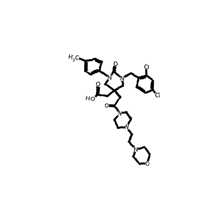 Cc1ccc(N2CC(CC(=O)O)(CC(=O)N3CCN(CCN4CCOCC4)CC3)CN(Cc3ccc(Cl)cc3Cl)C2=O)cc1